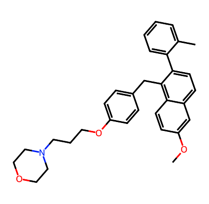 COc1ccc2c(Cc3ccc(OCCCN4CCOCC4)cc3)c(-c3ccccc3C)ccc2c1